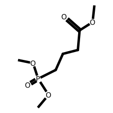 COC(=O)CCCP(=O)(OC)OC